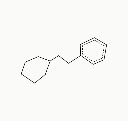 [CH]1CCCCC1CCc1ccccc1